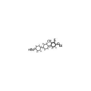 CCCCC1CCC(C2CCC(c3ccc(OCC)c(F)c3Cl)CC2)CC1